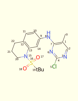 Cc1cnc(Cl)nc1Nc1ccc2c(c1)N(S(=O)(=O)C(C)(C)C)CCC2